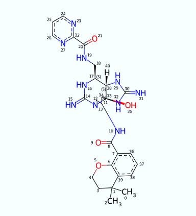 CC1(C)CCOc2c(C(=O)NC3CN4C(=N)N[C@@H](CNC(=O)c5ncccn5)[C@@H]5NC(=N)NC54[C@@H]3O)cccc21